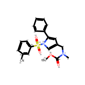 CN(Cc1cc(-c2ccccc2)n(S(=O)(=O)c2cccc(C#N)c2)c1)C(=O)OC(C)(C)C